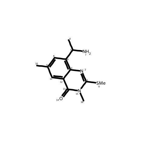 CSc1nc2c(C(C)N)cc(C)cc2c(=O)n1C